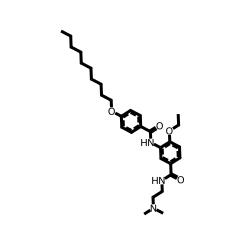 CCCCCCCCCCOc1ccc(C(=O)Nc2cc(C(=O)NCCN(C)C)ccc2OCC)cc1